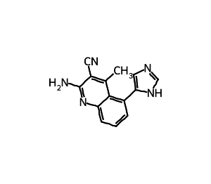 Cc1c(C#N)c(N)nc2cccc(-c3cnc[nH]3)c12